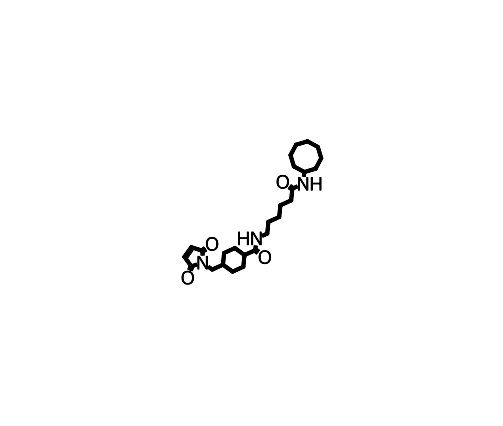 O=C(CCCCCNC(=O)C1CCC(CN2C(=O)C=CC2=O)CC1)NC1CCCCCCC1